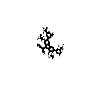 N#CC(C#N)C1c2cc(OC(F)(F)F)c(-c3cc(F)cc(C(F)(F)F)c3)cc2-c2cc(-c3cc(F)cc(C(F)(F)F)c3)c(OC(F)(F)F)cc21